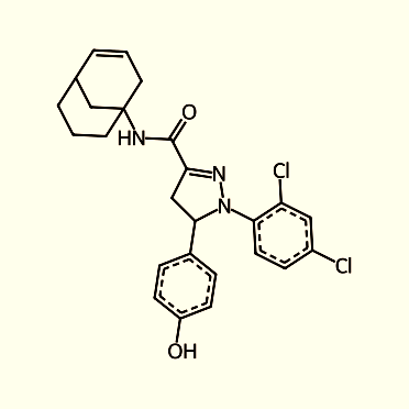 O=C(NC12CC=CC(CCC1)C2)C1=NN(c2ccc(Cl)cc2Cl)C(c2ccc(O)cc2)C1